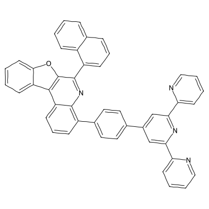 c1ccc(-c2cc(-c3ccc(-c4cccc5c4nc(-c4cccc6ccccc46)c4oc6ccccc6c45)cc3)cc(-c3ccccn3)n2)nc1